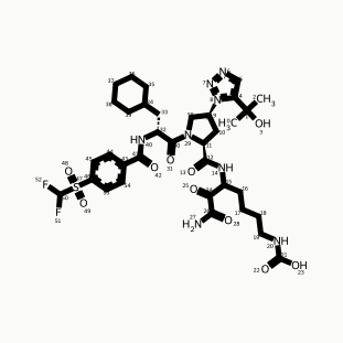 CC(C)(O)c1cnnn1[C@H]1C[C@@H](C(=O)NC(CCCCNC(=O)O)C(=O)C(N)=O)N(C(=O)[C@@H](CC2CCCCC2)NC(=O)c2ccc(S(=O)(=O)C(F)F)cc2)C1